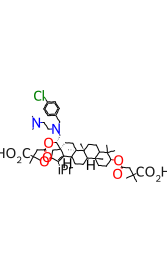 CC(C)C1=C2[C@H]3CC[C@@H]4[C@@]5(C)CC[C@H](OC(=O)CC(C)(C)C(=O)O)C(C)(C)C5CC[C@@]4(C)[C@]3(C)CC[C@@]2([C@@H](CN(CCN(C)C)Cc2ccc(Cl)cc2)OC(=O)CC(C)(C)C(=O)O)CC1=O